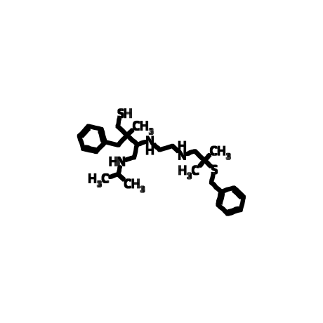 CC(C)NCC(NCCNCC(C)(C)SCc1ccccc1)C(C)(CS)Cc1ccccc1